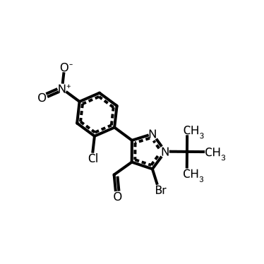 CC(C)(C)n1nc(-c2ccc([N+](=O)[O-])cc2Cl)c(C=O)c1Br